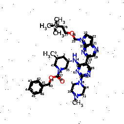 C[C@H]1C[C@H](Nc2nc(N3CCN(C)CC3)ncc2-c2cnc3ccn(COCC[Si](C)(C)C)c3n2)CN(C(=O)OCc2ccccc2)C1